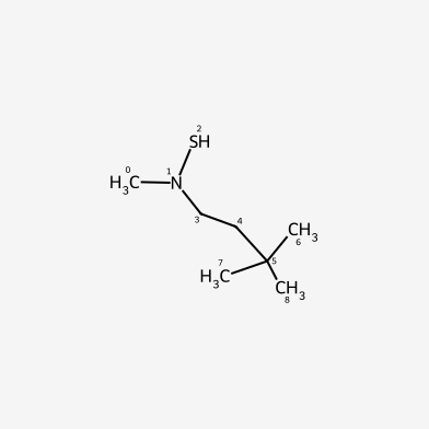 CN(S)CCC(C)(C)C